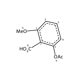 COc1cccc(OC(C)=O)c1C(=O)O